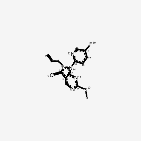 C=CCn1c(=O)c2cnc(SC)nc2n1-c1ccc(F)cn1